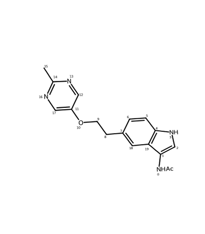 CC(=O)Nc1c[nH]c2ccc(CCOc3cnc(C)nc3)cc12